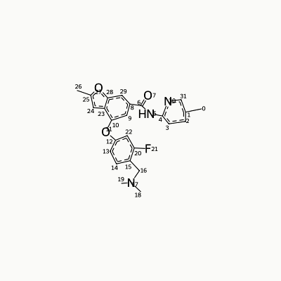 Cc1ccc(NC(=O)c2cc(Oc3ccc(CN(C)C)c(F)c3)c3cc(C)oc3c2)nc1